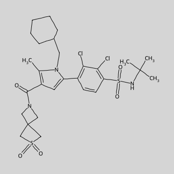 Cc1c(C(=O)N2CC3(C2)CS(=O)(=O)C3)cc(-c2ccc(S(=O)(=O)NC(C)(C)C)c(Cl)c2Cl)n1CC1CCCCC1